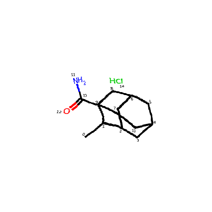 CC1C2CC3CC(C2)CC1(C(N)=O)C3.Cl